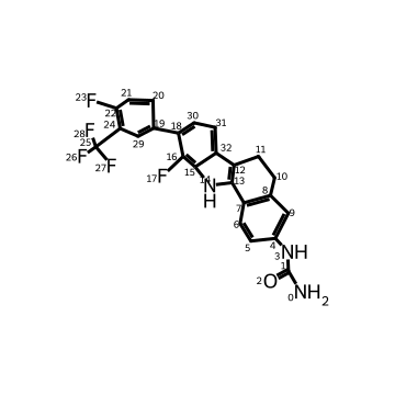 NC(=O)Nc1ccc2c(c1)CCc1c-2[nH]c2c(F)c(-c3ccc(F)c(C(F)(F)F)c3)ccc12